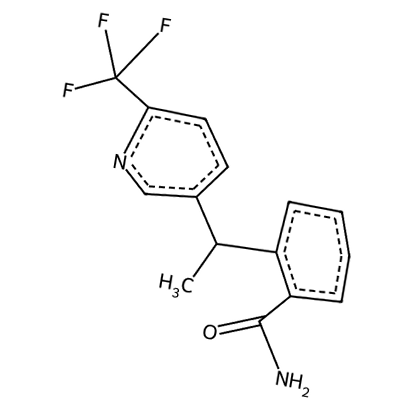 CC(c1ccc(C(F)(F)F)nc1)c1ccccc1C(N)=O